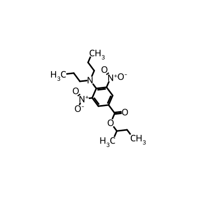 CCCN(CCC)c1c([N+](=O)[O-])cc(C(=O)OC(C)CC)cc1[N+](=O)[O-]